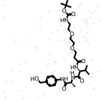 CC(C)[C@H](NC(=O)CCOCCOCCNC(=O)OC(C)(C)C)C(=O)N[C@@H](C)C(=O)Nc1ccc(CO)cc1